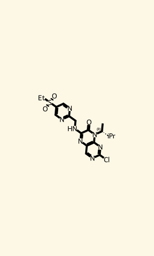 CCS(=O)(=O)c1cnc(CNc2nc3cnc(Cl)nc3n([C@H](C)C(C)C)c2=O)nc1